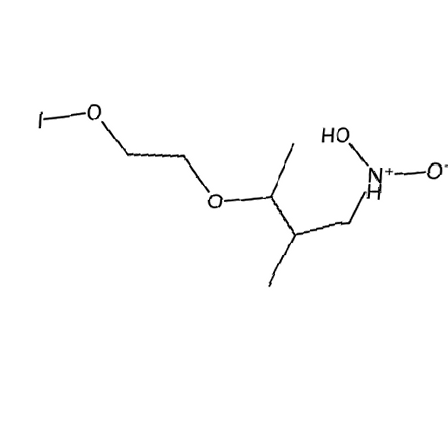 CC(C[NH+]([O-])O)C(C)OCCOI